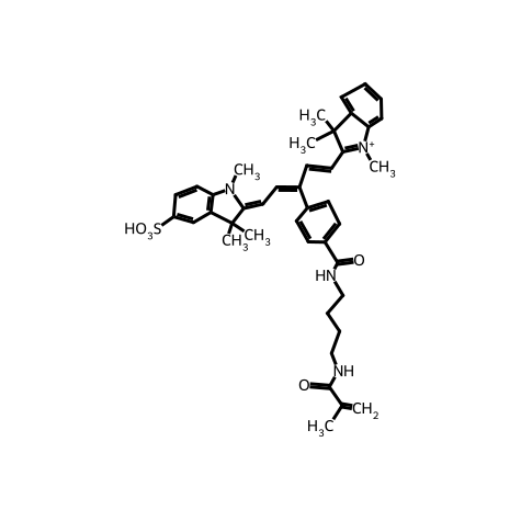 C=C(C)C(=O)NCCCCNC(=O)c1ccc(C(=C\C=C2/N(C)c3ccc(S(=O)(=O)O)cc3C2(C)C)/C=C/C2=[N+](C)c3ccccc3C2(C)C)cc1